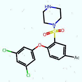 CC(=O)c1ccc(Oc2cc(Cl)cc(Cl)c2)c(S(=O)(=O)N2CCNCC2)c1